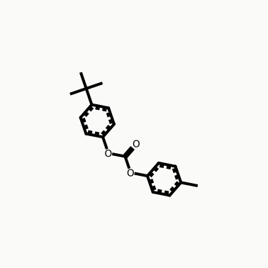 Cc1ccc(OC(=O)Oc2ccc(C(C)(C)C)cc2)cc1